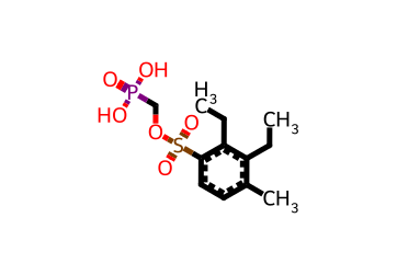 CCc1c(C)ccc(S(=O)(=O)OCP(=O)(O)O)c1CC